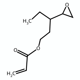 C=CC(=O)OCCC(CC)C1CO1